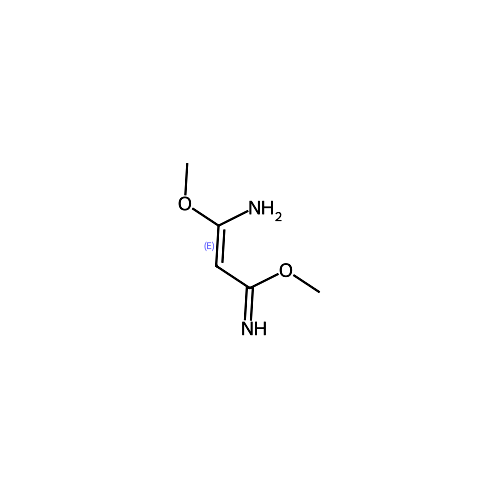 COC(=N)/C=C(\N)OC